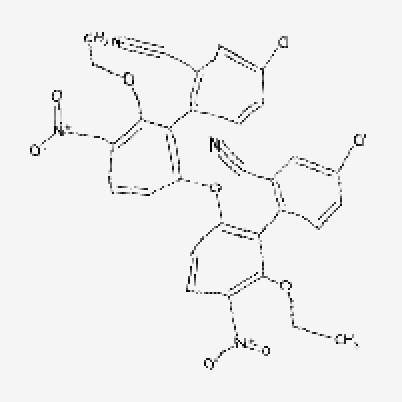 CCOc1c([N+](=O)[O-])ccc(Oc2ccc([N+](=O)[O-])c(OCC)c2-c2ccc(Cl)cc2C#N)c1-c1ccc(Cl)cc1C#N